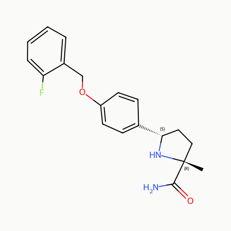 C[C@]1(C(N)=O)CC[C@@H](c2ccc(OCc3ccccc3F)cc2)N1